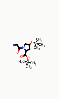 C[Si](C)(C)OC(=O)C1CC(O[Si](C)(C)C)CN1C(=O)CI